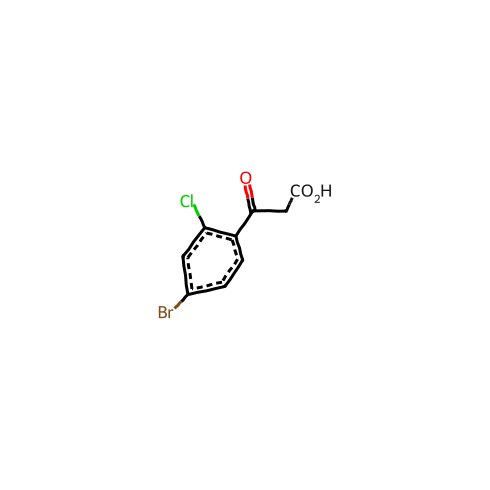 O=C(O)CC(=O)c1ccc(Br)cc1Cl